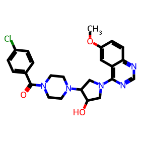 COc1ccc2ncnc(N3CC(O)C(N4CCN(C(=O)c5ccc(Cl)cc5)CC4)C3)c2c1